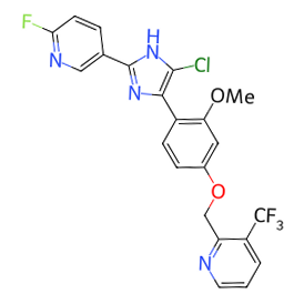 COc1cc(OCc2ncccc2C(F)(F)F)ccc1-c1nc(-c2ccc(F)nc2)[nH]c1Cl